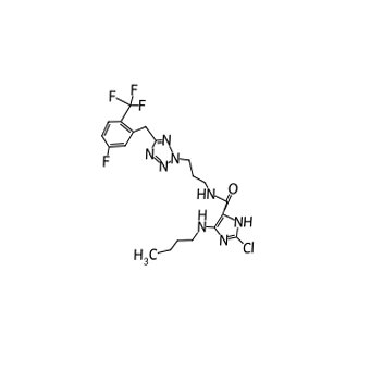 CCCCNc1nc(Cl)[nH]c1C(=O)NCCCn1nnc(Cc2cc(F)ccc2C(F)(F)F)n1